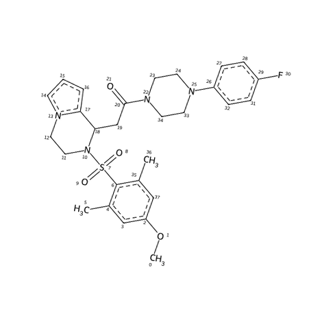 COc1cc(C)c(S(=O)(=O)N2CCn3cccc3C2CC(=O)N2CCN(c3ccc(F)cc3)CC2)c(C)c1